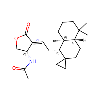 CC(=O)N[C@@H]1COC(=O)/C1=C/C[C@H]1C2(CC[C@H]3C(C)(C)CCC[C@@]31C)CC2